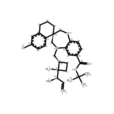 C=C[C@@H](O)[C@@]1(C)CC[C@@H]1CN1C[C@@]2(CCCc3cc(Cl)ccc32)COc2ccc(C(=O)OC(C)(C)C)cc21